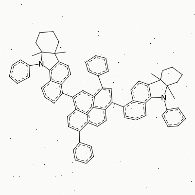 CC12CCCCC1(C)N(c1ccccc1)c1c2ccc2c(-c3cc4c(-c5ccccc5)cc(-c5cccc6c7c(ccc56)C5(C)CCCCC5(C)N7c5ccccc5)c5ccc6c(-c7ccccc7)ccc3c6c45)cccc12